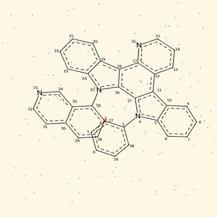 c1ccc(-n2c3ccccc3c3c4cccnc4c4c5ccccc5n(-c5cccc6ccncc56)c4c32)cc1